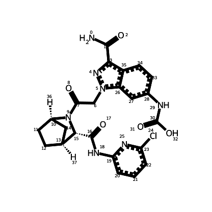 NC(=O)c1nn(CC(=O)N2[C@@H]3CC[C@@H](C3)[C@H]2C(=O)Nc2cccc(Cl)n2)c2cc(NC(=O)O)ccc12